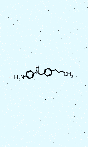 CCCCc1ccc(CNc2ccc(N)cc2)cc1